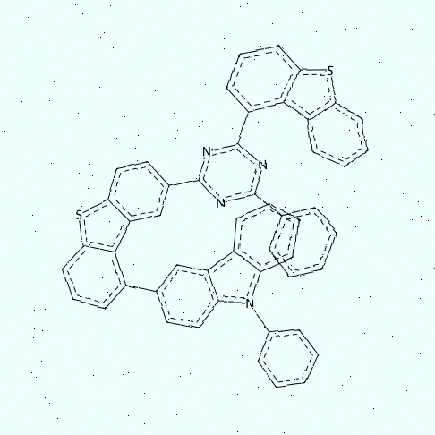 c1ccc(-c2nc(-c3ccc4sc5cccc(-c6ccc7c(c6)c6ccccc6n7-c6ccccc6)c5c4c3)nc(-c3cccc4sc5ccccc5c34)n2)cc1